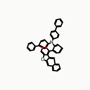 c1ccc(-c2ccc(N(c3ccc(-c4ccccc4)cc3)c3ccccc3-c3cccc4oc5cc6ccccc6cc5c34)cc2)cc1